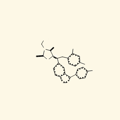 O=C(O)CN1C(=O)S/C(=C(/Cc2ccc(Cl)cc2C(F)(F)F)c2ccc3[nH]nc(-c4ccc(F)cc4)c3c2)C1=O